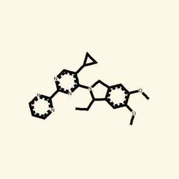 CCC1c2cc(OC)c(OC)cc2CN1c1nc(-c2ncccn2)ncc1C1CC1